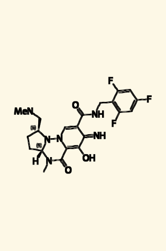 CNC[C@@H]1CC[C@H]2N(C)C(=O)c3c(O)c(=N)c(C(=O)NCc4c(F)cc(F)cc4F)cn3N12